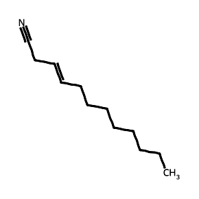 CCCCCCCC/C=C/CC#N